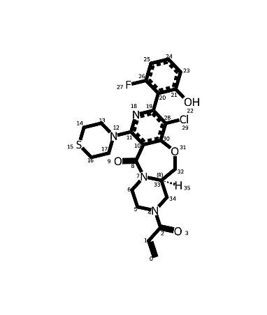 C=CC(=O)N1CCN2C(=O)c3c(N4CCSCC4)nc(-c4c(O)cccc4F)c(Cl)c3OC[C@H]2C1